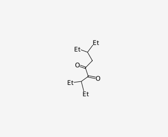 CCC(CC)CC(=O)C(=O)C(CC)CC